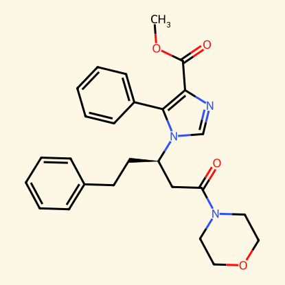 COC(=O)c1ncn([C@H](CCc2ccccc2)CC(=O)N2CCOCC2)c1-c1ccccc1